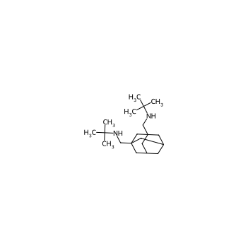 CC(C)(C)NCC12CC3CC(C1)CC(CNC(C)(C)C)(C3)C2